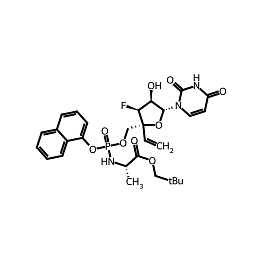 C=C[C@]1(COP(=O)(N[C@@H](C)C(=O)OCC(C)(C)C)Oc2cccc3ccccc23)O[C@@H](n2ccc(=O)[nH]c2=O)[C@H](O)[C@@H]1F